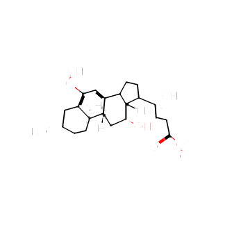 COC(=O)CC[C@@H](C)C1CCC2C3=CC(OC)=C4C[C@@H](C)CC[C@]4(C)[C@H]3C[C@H](O)C21C